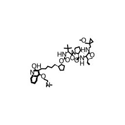 C=C[C@H](C)[C@@](C)(NC(=O)[C@@H]1CCCN1C(=O)[C@@H](NC(=O)O[C@@H]1CCC[C@H]1CCCCCc1c(O)nc2ccccc2c1OCCN(C)C)C(C)(C)C)C(=O)NCC1(COC)CC1